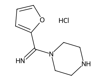 Cl.N=C(c1ccco1)N1CCNCC1